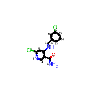 NC(=O)c1cnc(Cl)cc1NCc1cccc(Cl)c1